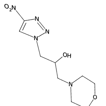 O=[N+]([O-])c1cn(CC(O)CN2CCOCC2)nn1